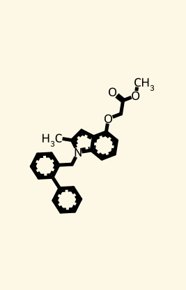 COC(=O)COc1cccc2c1cc(C)n2Cc1ccccc1-c1ccccc1